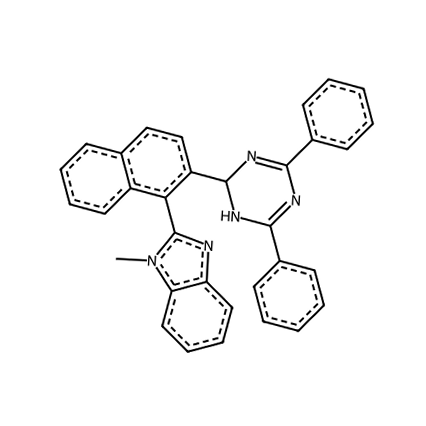 Cn1c(-c2c(C3N=C(c4ccccc4)N=C(c4ccccc4)N3)ccc3ccccc23)nc2ccccc21